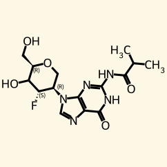 CC(C)C(=O)Nc1nc2c(ncn2[C@@H]2CO[C@H](CO)C(O)[C@H]2F)c(=O)[nH]1